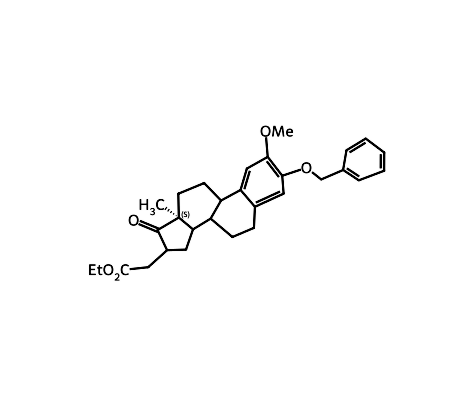 CCOC(=O)CC1CC2C3CCc4cc(OCc5ccccc5)c(OC)cc4C3CC[C@]2(C)C1=O